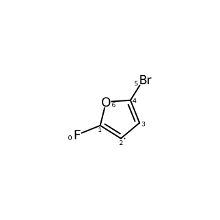 Fc1[c]cc(Br)o1